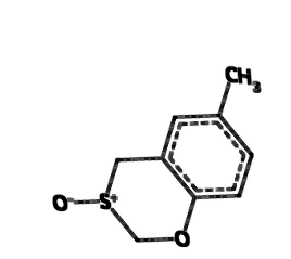 Cc1ccc2c(c1)C[S+]([O-])CO2